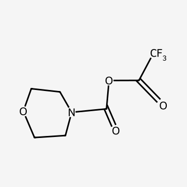 O=C(OC(=O)C(F)(F)F)N1CCOCC1